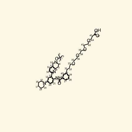 CC(C)(C)ON1CCc2nc(-c3cc(N4CCCCC4)ccc3NC(=O)c3cccc(CCCOCCOCCOCCOCCC(=O)O)c3)ccc2C1